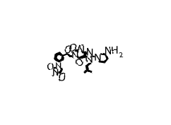 CC(C)=CCn1c(N2CCCC(N)C2)nc2c1c(=O)n(CC(=O)c1cccc(N3CC(=O)N(C)C3=O)c1)c(=O)n2C